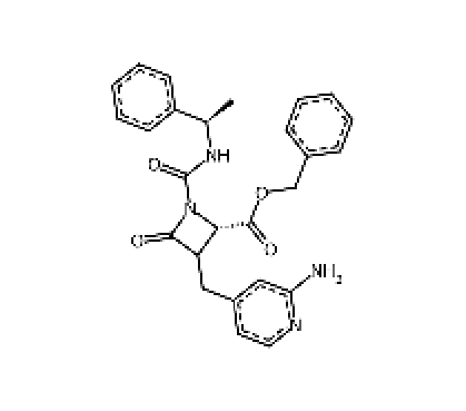 C[C@@H](NC(=O)N1C(=O)C(Cc2ccnc(N)c2)[C@H]1C(=O)OCc1ccccc1)c1ccccc1